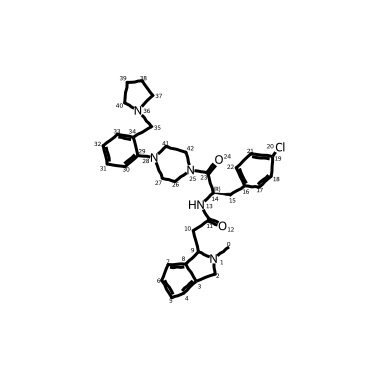 CN1Cc2ccccc2C1CC(=O)N[C@H](Cc1ccc(Cl)cc1)C(=O)N1CCN(c2ccccc2CN2CCCC2)CC1